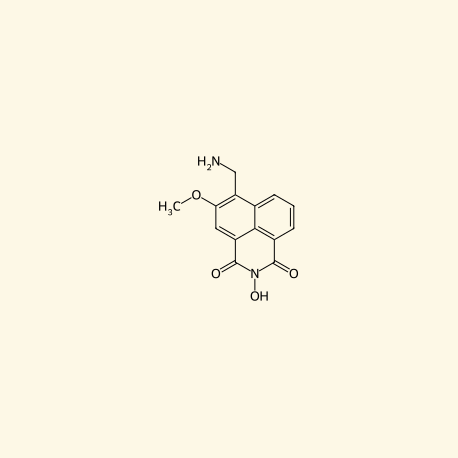 COc1cc2c3c(cccc3c1CN)C(=O)N(O)C2=O